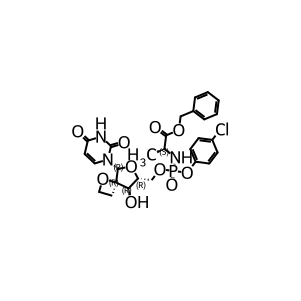 C[C@H](NP(=O)(OC[C@H]1O[C@@H](n2ccc(=O)[nH]c2=O)[C@@]2(CCO2)[C@@H]1O)Oc1ccc(Cl)cc1)C(=O)OCc1ccccc1